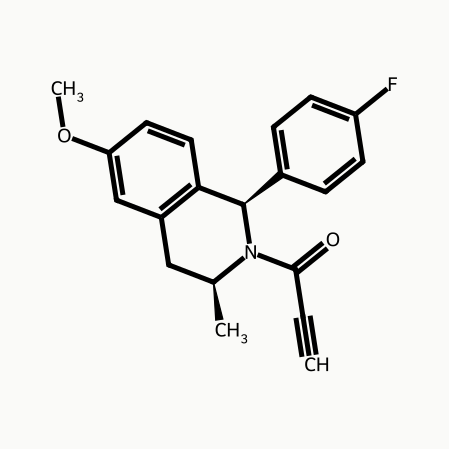 C#CC(=O)N1[C@H](c2ccc(F)cc2)c2ccc(OC)cc2C[C@@H]1C